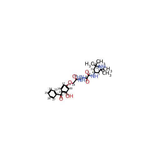 CC1(C)CC(NC(=O)C(=O)NNC(=O)COc2ccc(C(=O)c3ccccc3)c(O)c2)CC(C)(C)N1